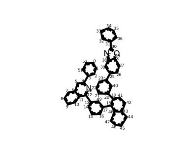 c1ccc(-c2cc3ccccc3c(-c3cccc(-c4c(-c5cccc(-c6ccc7oc(-c8ccccc8)nc7c6)c5)ccc5ccccc45)c3)n2)cc1